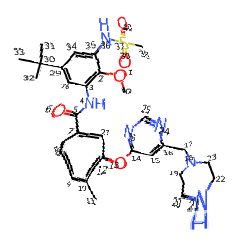 COc1c(NC(=O)c2ccc(C)c(Oc3cc(CN4CCNCC4)ncn3)c2)cc(C(C)(C)C)cc1NS(C)(=O)=O